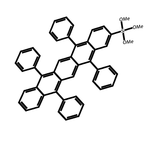 CO[Si](OC)(OC)c1ccc2c(-c3ccccc3)c3cc4c(-c5ccccc5)c5ccccc5c(-c5ccccc5)c4cc3c(-c3ccccc3)c2c1